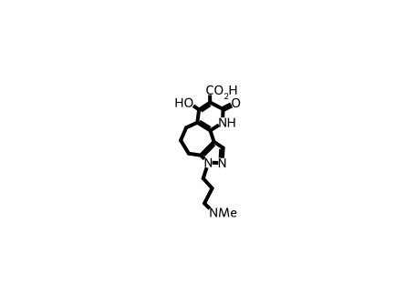 CNCCCn1ncc2c1CCCc1c-2[nH]c(=O)c(C(=O)O)c1O